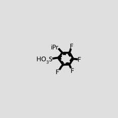 CC(C)c1c(F)c(F)c(F)c(F)c1S(=O)(=O)O